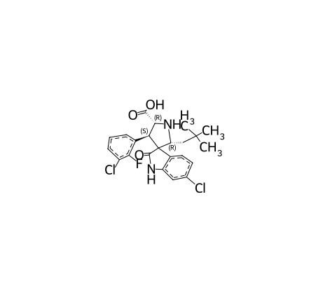 CC(C)(C)C[C@H]1N[C@@H](C(=O)O)[C@H](c2cccc(Cl)c2F)C12C(=O)Nc1cc(Cl)ccc12